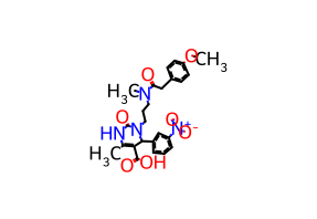 COc1ccc(CC(=O)N(C)CCCN2C(=O)NC(C)=C(C(=O)O)C2c2cccc([N+](=O)[O-])c2)cc1